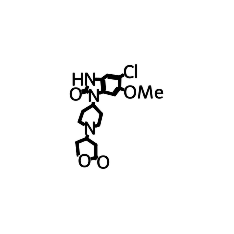 COc1cc2c(cc1Cl)[nH]c(=O)n2C1CCN(C2CCOC(=O)C2)CC1